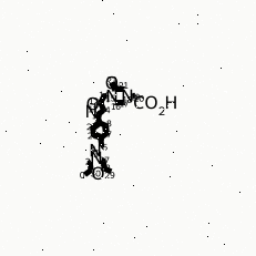 CC1CN(/N=C/c2ccc(C3=NOC(CN4CCN(CC(=O)O)CC4=O)C3)cc2)CC(C)O1